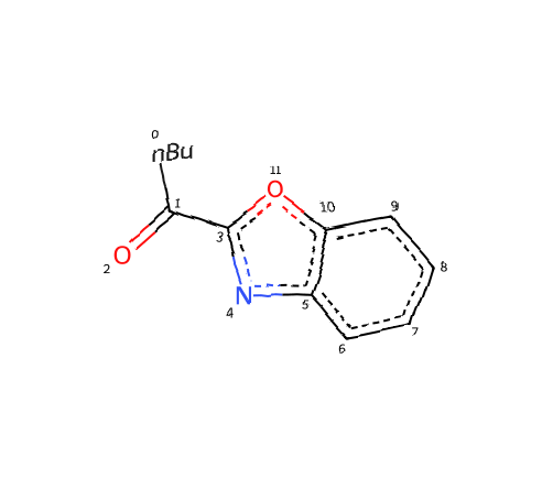 [CH2]CCCC(=O)c1nc2ccccc2o1